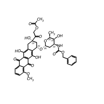 COc1cccc2c1C(=O)c1c(O)c3c(c(O)c1C2=O)C[C@@](O)(C(=O)COC(C)=O)C[C@@H]3O[C@H]1C[C@H](NC(=O)OCc2ccccc2)[C@H](O)[C@H](C)O1